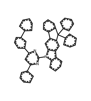 c1ccc(-c2cccc(-c3cc(-c4ccccc4)nc(-n4c5ccccc5c5cc6c(cc54)-c4ccccc4C6(c4ccccc4)c4ccccc4)n3)c2)cc1